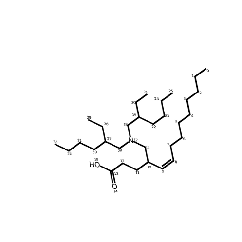 CCCCCCCC/C=C\C(CCC(=O)O)CN(CC(CC)CCCC)CC(CC)CCCC